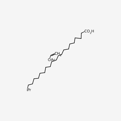 C=COC(C)=O.CC(C)CCCCCCCCCCCCCCCCCCCC(=O)O